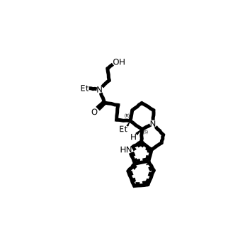 CCN(CCO)C(=O)CC[C@@]1(CC)CCCN2CCc3c([nH]c4ccccc34)[C@@H]21